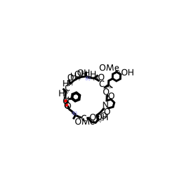 COC1CC2CC[C@@H](C)C(O)(O2)C(=O)C(=O)N2CCCCC2C(=O)OC([C@H](C)CC2CCC(O)[C@H](OC)C2)CC(=O)[C@H](C)/C=C(\C)C(O)[C@@H](O)C(=O)[C@H](C)C[C@H](C)C2CCC(/C=C/1C)ON2c1ccccc1